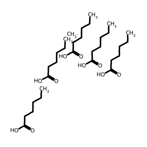 CCCCCC(=O)O.CCCCCC(=O)O.CCCCCC(=O)O.CCCCCC(=O)O.CCCCCC(=O)O.[CH3]